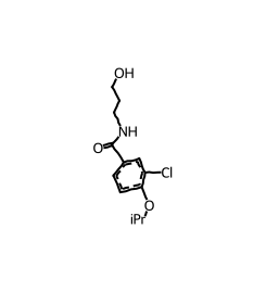 CC(C)Oc1ccc(C(=O)NCCCO)cc1Cl